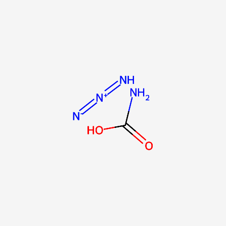 NC(=O)O.[N-]=[N+]=N